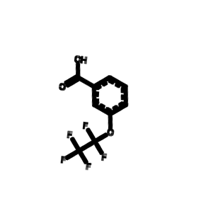 O=C(O)c1cccc(OC(F)(F)C(F)(F)F)c1